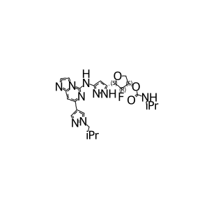 CC(C)Cn1cc(-c2cc3nccn3c(Nc3cc([C@@H]4OC[C@H](OC(=O)NC(C)C)[C@@H]4F)[nH]n3)n2)cn1